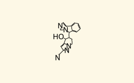 N#Cc1cc2n(n1)CCC(C1c3ccccc3-c3cncn31)C2O